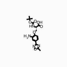 Cc1nc(-c2ccc(OC[C@H](NC(=O)OC(C)(C)C)C(=O)O)c(N)c2)no1